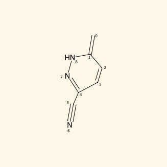 C=C1C=CC(C#N)=NN1